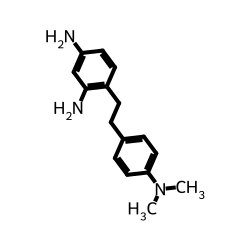 CN(C)c1ccc(CCc2ccc(N)cc2N)cc1